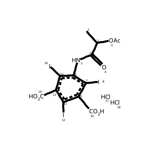 CC(=O)OC(C)C(=O)Nc1c(I)c(C(=O)O)c(I)c(C(=O)O)c1I.Cl.Cl